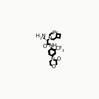 CC(C)CN(CC1CCC1)[C@@H](CN)C(=O)Nc1ccc(N2CCOCC2=O)cc1C(F)(F)F